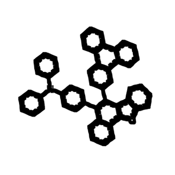 c1ccc(N(c2ccccc2)c2ccc(-c3c(-c4ccc5c6ccccc6c6ccccc6c5c4)c4c5ccccc5oc4c4ccccc34)cc2)cc1